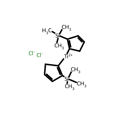 C[Si](C)(C)C1=[C]([Ti+2][C]2=C([Si](C)(C)C)C=CC2)CC=C1.[Cl-].[Cl-]